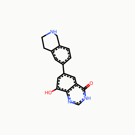 O=c1[nH]cnc2c(O)cc(-c3ccc4c(c3)CCNC4)cc12